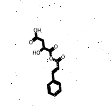 O=C(O)CC(O)C(=O)OC(=O)C=Cc1ccccc1